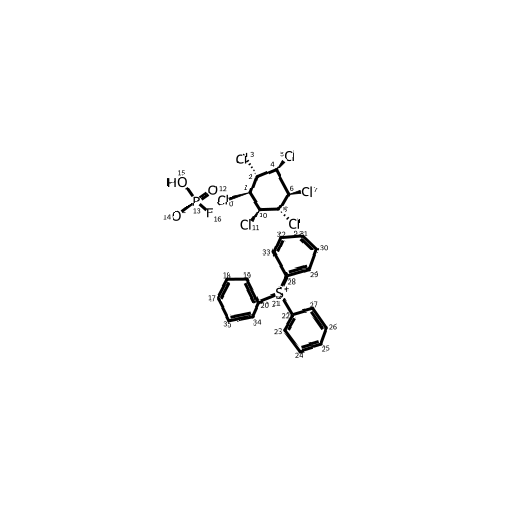 Cl[C@H]1[C@H](Cl)[C@@H](Cl)[C@@H](Cl)[C@H](Cl)[C@H]1Cl.O=P([O-])(O)F.c1ccc([S+](c2ccccc2)c2ccccc2)cc1